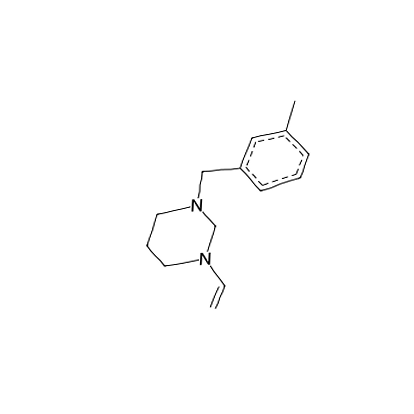 C=CN1CCCN(Cc2cccc(C)c2)C1